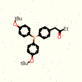 CCC(=O)Cc1ccc([S+](c2ccc(OC(C)(C)C)cc2)c2ccc(OC(C)(C)C)cc2)cc1